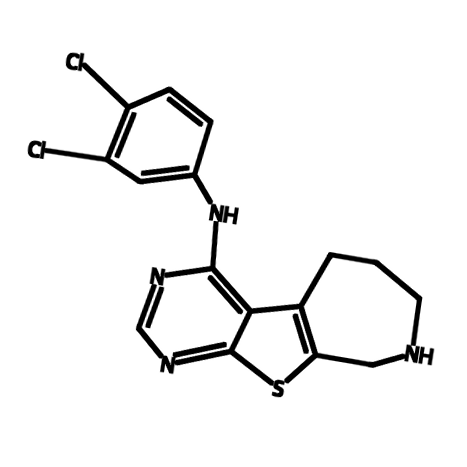 Clc1ccc(Nc2ncnc3sc4c(c23)CCCNC4)cc1Cl